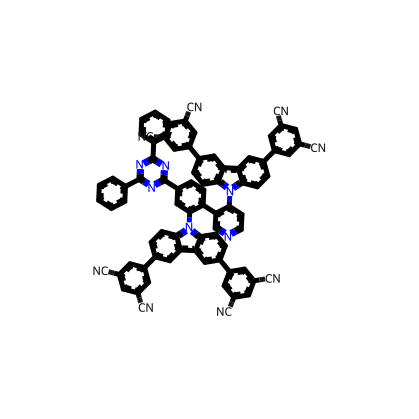 N#Cc1cc(C#N)cc(-c2ccc3c(c2)c2cc(-c4cc(C#N)cc(C#N)c4)ccc2n3-c2ccncc2-c2ccc(-c3nc(-c4ccccc4)nc(-c4ccccc4)n3)cc2-n2c3ccc(-c4cc(C#N)cc(C#N)c4)cc3c3cc(-c4cc(C#N)cc(C#N)c4)ccc32)c1